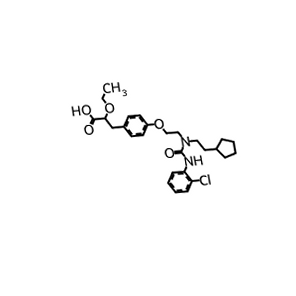 CCOC(Cc1ccc(OCCN(CCC2CCCC2)C(=O)Nc2ccccc2Cl)cc1)C(=O)O